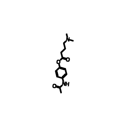 CC(=O)Nc1ccc(OC(=O)CCCN(C)C)cc1